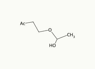 CC(=O)CCOC(C)O